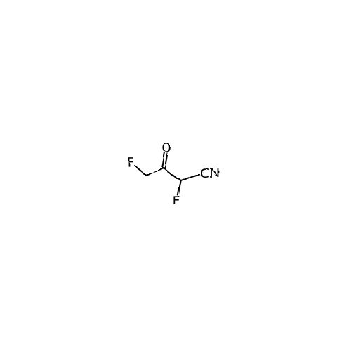 N#CC(F)C(=O)CF